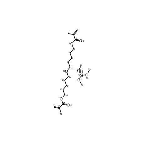 C=C(C)C(=O)OCCCCCOCCCCCOC(=O)C(=C)C.CO[SiH](OC)OC